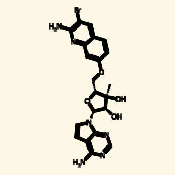 C[C@@]1(O)[C@@H](COc2ccc3cc(Br)c(N)nc3c2)O[C@@H](n2ccc3c(N)ncnc32)[C@@H]1O